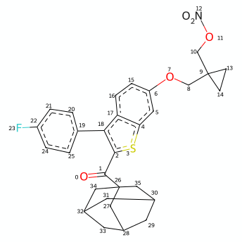 O=C(c1sc2cc(OCC3(CO[N+](=O)[O-])CC3)ccc2c1-c1ccc(F)cc1)C12CC3CC(CC(C3)C1)C2